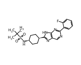 CC(C)(C)S(=O)(=O)N[C@H]1CC[C@@H](c2nc3cnc(-c4ccccc4F)nc3[nH]2)CC1